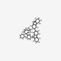 c1ccc2c(c1)-c1ccc(-n3c4ccccc4c4ccc(-c5ccc6sc7ccccc7c6c5)cc43)cc1C21C2CC3CC(C2)CC1C3